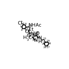 CCC(Oc1ccc(Cl)cc1CNC(C)=O)C(=O)Nn1c(C)cnc(NCCc2ccccc2)c1=O